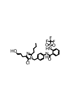 CCCCc1nc(CC=CO)c(Cl)n1Cc1ccc(NC(=O)c2ccccc2NS(=O)(=O)C(F)(F)F)cc1